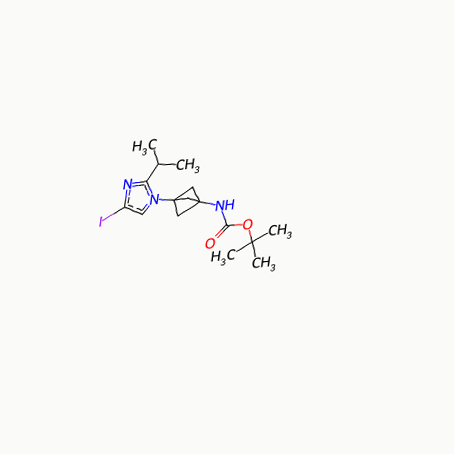 CC(C)c1nc(I)cn1C12CC(NC(=O)OC(C)(C)C)(C1)C2